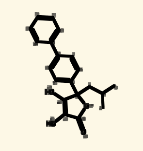 CC(C)CC1(c2ccc(-c3ccccc3)cc2)OC(=O)C(O)=C1O